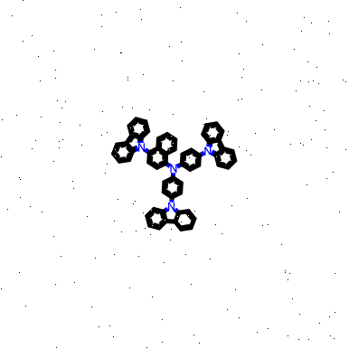 C1=CC2c3ccccc3N(c3ccc(N(c4ccc(-n5c6ccccc6c6ccccc65)cc4)c4ccc(-n5c6ccccc6c6ccccc65)c5ccccc45)cc3)C2C=C1